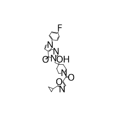 O=C(c1cnc(C2CC2)o1)N1CCC(O)(Cn2cnc3c(ccn3-c3ccc(F)cc3)c2=O)CC1